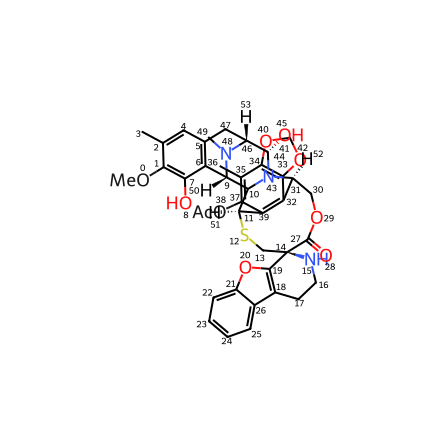 COc1c(C)cc2c(c1O)[C@H]1C3[C@@H]4SC[C@]5(NCCc6c5oc5ccccc65)C(=O)OC[C@@H](c5c6c(c(C)c(OC(C)=O)c54)OCO6)N3[C@@H](O)[C@@H](C2)N1C